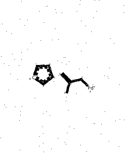 C=C(C)[CH2][Pd+].c1cc[cH-]c1